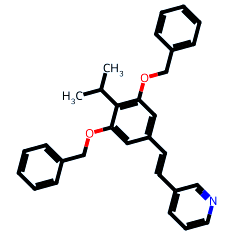 CC(C)c1c(OCc2ccccc2)cc(/C=C/c2cccnc2)cc1OCc1ccccc1